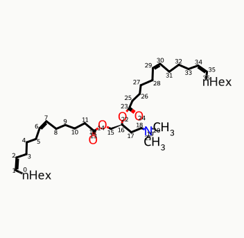 CCCCCC/C=C\CCC/C=C\CCCCC(=O)OC[C@H](CCN(C)C)OC(=O)CCCC/C=C\CCC/C=C\CCCCCC